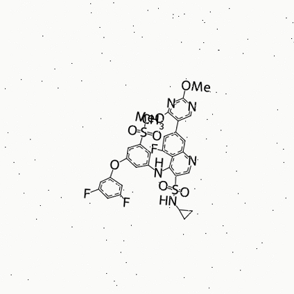 COc1ncc(-c2cc(F)c3c(Nc4cc(Oc5cc(F)cc(F)c5)cc(S(C)(=O)=O)c4)c(S(=O)(=O)NC4CC4)cnc3c2)c(OC)n1